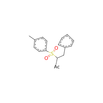 CC(=O)C(Cc1ccccc1)S(=O)(=O)c1ccc(C)cc1